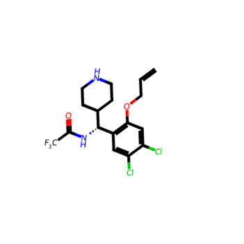 C=CCOc1cc(Cl)c(Cl)cc1[C@H](NC(=O)C(F)(F)F)C1CCNCC1